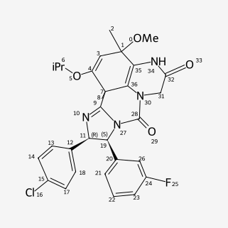 COC1(C)C=C(OC(C)C)C2(C)C3=N[C@H](c4ccc(Cl)cc4)[C@H](c4cccc(F)c4)N3C(=O)N3CC(=O)NC1=C32